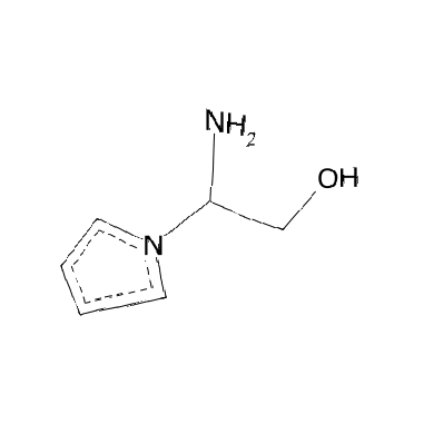 NC(CO)n1cccc1